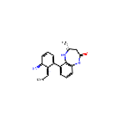 CN/C=C1\C(=N)C=CC=C1c1cccc2c1N[C@H](C)CC(=O)N2